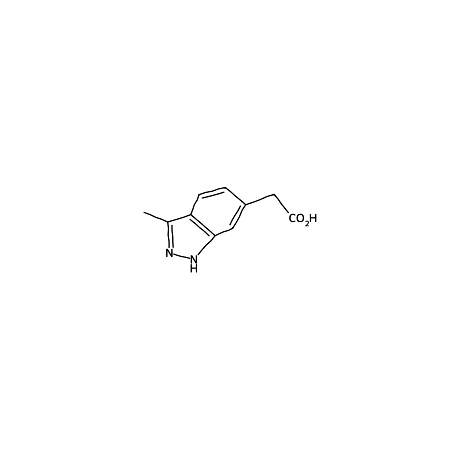 Cc1n[nH]c2cc(CC(=O)O)ccc12